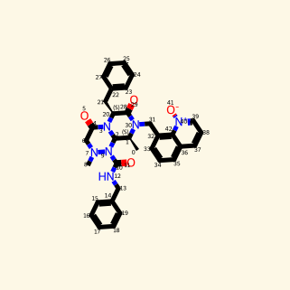 C[C@H]1C2N(C(=O)CN(C)N2C(=O)NCc2ccccc2)[C@@H](Cc2cc[c]cc2)C(=O)N1Cc1cccc2ccc[n+]([O-])c12